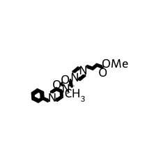 COC(=O)CCCN1CCN(C2C[N+](C)(C3CCN(Cc4ccccc4)CC3)C(=O)O2)CC1